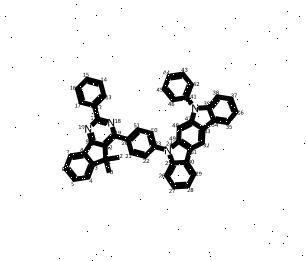 CC1(C)c2ccccc2-c2nc(-c3ccccc3)nc(-c3ccc(-n4c5ccccc5c5cc6c7ccccc7n(-c7ccccc7)c6cc54)cc3)c21